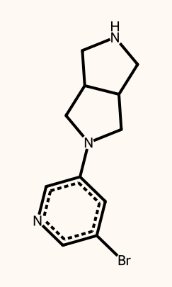 Brc1cncc(N2CC3CNCC3C2)c1